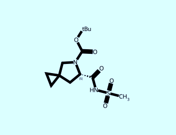 CC(C)(C)OC(=O)N1CC2(CC2)C[C@H]1C(=O)NS(C)(=O)=O